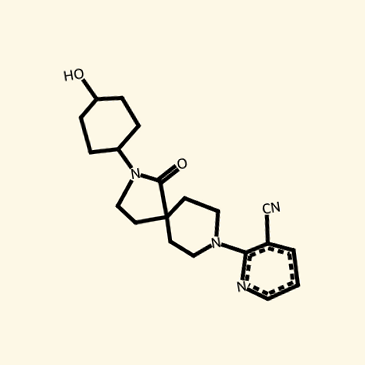 N#Cc1cccnc1N1CCC2(CC1)CCN(C1CCC(O)CC1)C2=O